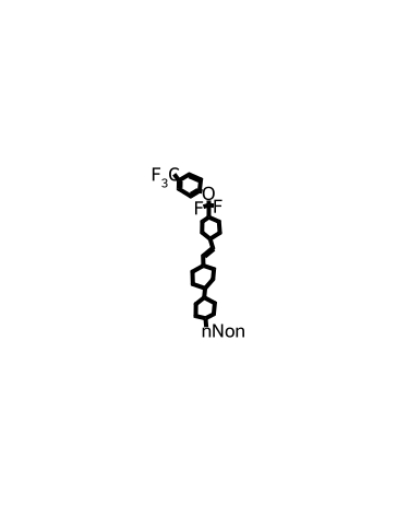 CCCCCCCCCC1CCC(C2CCC(/C=C/C3CCC(C(F)(F)Oc4ccc(C(F)(F)F)cc4)CC3)CC2)CC1